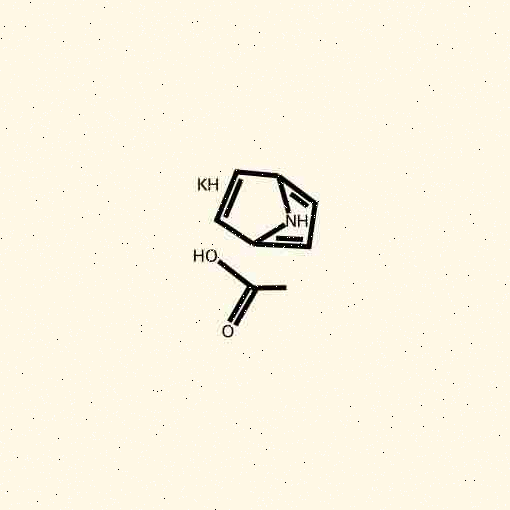 CC(=O)O.[KH].c1cc2ccc1[nH]2